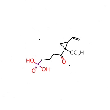 C=CC1CC1(C(=O)O)C(=O)CCCP(=O)(O)O